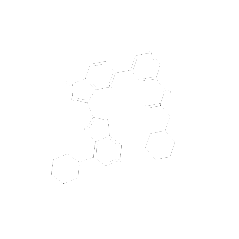 O=C(CC1CCCCC1)Nc1cncc(-c2ccc3[nH]nc(-c4nc5c(N6CCCCC6)cncc5[nH]4)c3n2)c1